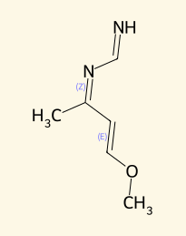 CO/C=C/C(C)=N\C=N